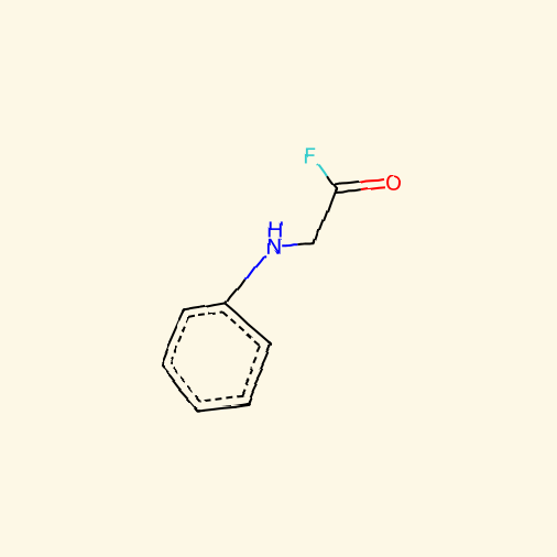 O=C(F)CNc1ccccc1